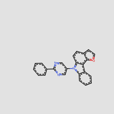 c1ccc(-c2ncc(-n3c4ccccc4c4c5occc5ccc43)cn2)cc1